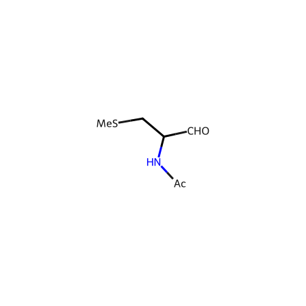 CSCC(C=O)NC(C)=O